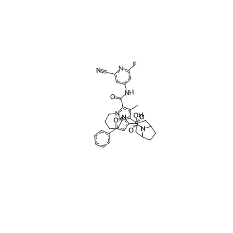 Cc1c(S(=O)(=O)N2C3CCC2CC(O)(c2cc(-c4ccccc4)on2)C3)c2n(c1C(=O)Nc1cc(F)nc(C#N)c1)CCCC2